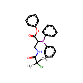 CC(C)(Br)C(=O)NCC(C(=O)Oc1ccccc1)P(c1ccccc1)c1ccccc1